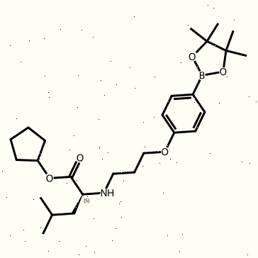 CC(C)C[C@H](NCCCOc1ccc(B2OC(C)(C)C(C)(C)O2)cc1)C(=O)OC1CCCC1